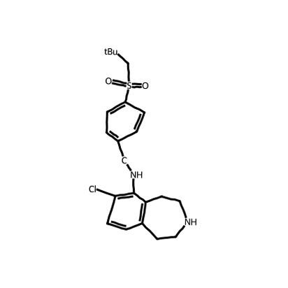 CC(C)(C)CS(=O)(=O)c1ccc(CNc2c(Cl)ccc3c2CCNCC3)cc1